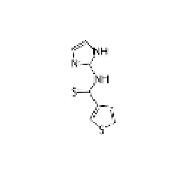 S=C(Nc1ncc[nH]1)c1ccsc1